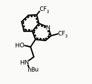 CCCCNCC(O)c1cc(C(F)(F)F)nc2c(C(F)(F)F)cccc12